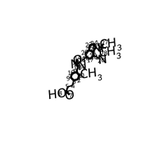 Cc1cc(CCC(=O)O)ccc1-c1noc(-c2cc(C#N)c3c(ccn3C(C)C)c2)n1